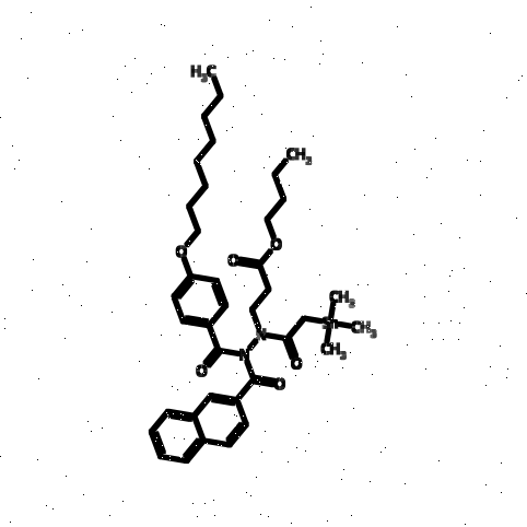 CCCCCCCCOc1ccc(C(=O)N(C(=O)c2ccc3ccccc3c2)N(CCC(=O)OCCCC)C(=O)[CH2][Sn]([CH3])([CH3])[CH3])cc1